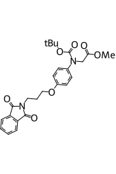 COC(=O)CN(C(=O)OC(C)(C)C)c1ccc(OCCCN2C(=O)c3ccccc3C2=O)cc1